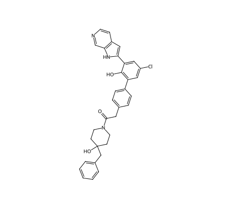 O=C(Cc1ccc(-c2cc(Cl)cc(-c3cc4ccncc4[nH]3)c2O)cc1)N1CCC(O)(Cc2ccccc2)CC1